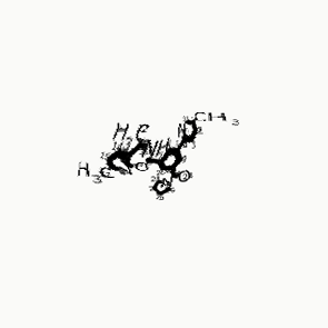 Cc1ccc(-c2cc(C(=O)N[C@H](C)c3ccc(C)nc3)cc(C(=O)N3CCCC3)c2)nc1